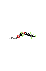 CCCCCC1COC(c2cc(F)c(C(F)(F)Oc3ccc(-c4ccc(-c5cc(F)c(/C=C/F)c(F)c5)c(F)c4)cc3)c(F)c2)OC1